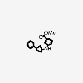 COC(=O)c1cccc(NC2CCC(c3ccccc3)C2)c1